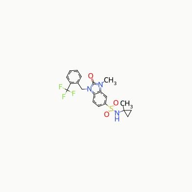 Cn1c(=O)n(Cc2ccccc2C(F)(F)F)c2ccc(S(=O)(=O)NC3(C)CC3)cc21